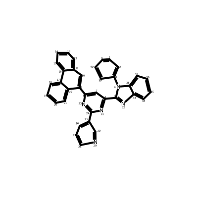 c1ccc(-n2c(-c3cc(-c4cc5ccccc5c5ccccc45)nc(-c4cccnc4)n3)nc3ccccc32)cc1